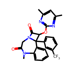 Cc1cc(C)nc(OC2C(=O)N3CC(=O)N(C)c4ccccc4C23c2cccc(C(F)(F)F)c2)n1